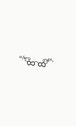 CN1COc2c(ccc3ccc(Cc4ccc5ccc6c(c5c4)OCN(C)C6)cc23)C1